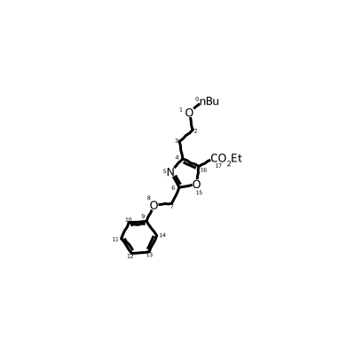 CCCCOCCc1nc(COc2ccccc2)oc1C(=O)OCC